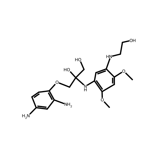 COc1cc(OC)c(NC(O)(CO)COc2ccc(N)cc2N)cc1NCCO